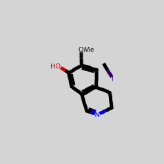 CI.COc1cc2c(cc1O)C=NCC2